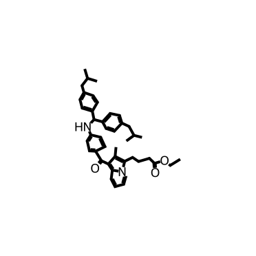 CCOC(=O)CCCc1c(C)c(C(=O)c2ccc(NC(c3ccc(CC(C)C)cc3)c3ccc(CC(C)C)cc3)cc2)c2ccccn12